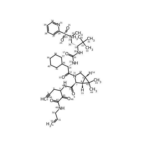 C#CCC(NC(=O)[C@@H]1[C@@H]2[C@H](CN1C(=O)[C@@H](NC(=O)N[C@H](CN(C)S(=O)(=O)c1ccccn1)C(C)(C)C)C1CCCCC1)C2(C)C)C(=O)C(=O)NCC=C